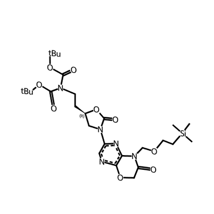 CC(C)(C)OC(=O)N(CC[C@@H]1CN(c2cnc3c(n2)N(COCC[Si](C)(C)C)C(=O)CO3)C(=O)O1)C(=O)OC(C)(C)C